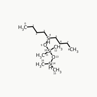 CCCC[SiH](CCCC)O[Si](C)(C)O[SiH](C)C